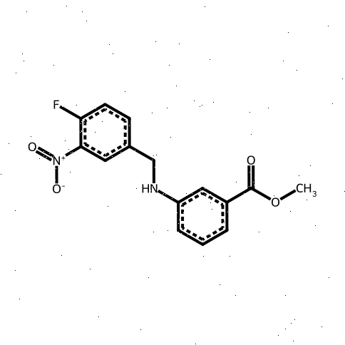 COC(=O)c1cccc(NCc2ccc(F)c([N+](=O)[O-])c2)c1